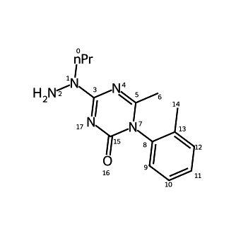 CCCN(N)c1nc(C)n(-c2ccccc2C)c(=O)n1